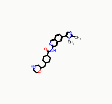 Cc1ncc(-c2ccc3cnc(NC(=O)C4CCC(CC5CNCCO5)CC4)cc3c2)n1C